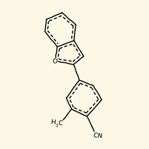 Cc1cc(-c2cc3ccccc3o2)ccc1C#N